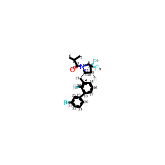 CC(C)C(=O)N1CC(F)(F)[C@H](C)[C@@H]1Cc1cccc(-c2cccc(F)c2)c1F